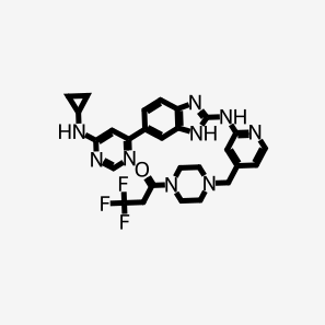 O=C(CC(F)(F)F)N1CCN(Cc2ccnc(Nc3nc4ccc(-c5cc(NC6CC6)ncn5)cc4[nH]3)c2)CC1